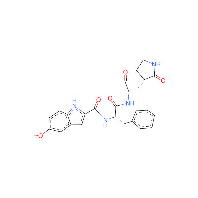 COc1ccc2[nH]c(C(=O)N[C@@H](Cc3ccccc3)C(=O)N[C@H](C=O)C[C@@H]3CCNC3=O)cc2c1